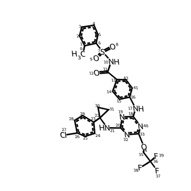 Cc1ccccc1S(=O)(=O)NC(=O)c1ccc(Nc2nc(NC3(c4ccc(Cl)cc4)CC3)nc(OCC(F)(F)F)n2)cc1